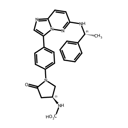 C[C@@H](Nc1ccc2ncc(-c3ccc(N4C[C@@H](NC(=O)O)CC4=O)cc3)n2n1)c1ccccc1